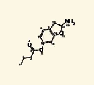 CCCC(=O)Oc1ccc2c(c1)OC(N)C2